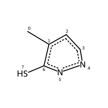 Cc1ccnnc1S